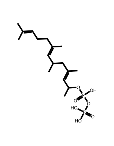 CC(C)=CCCC(C)=CC(C)CC(C)=CC(C)OP(=O)(O)OP(=O)(O)O